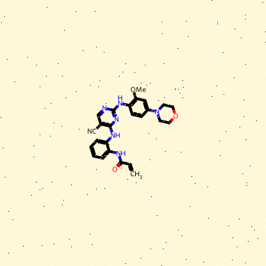 C=CC(=O)Nc1ccccc1Nc1nc(Nc2ccc(N3CCOCC3)cc2OC)ncc1C#N